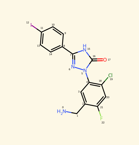 NCc1cc(-n2nc(-c3ccc(I)cc3)[nH]c2=O)c(Cl)cc1F